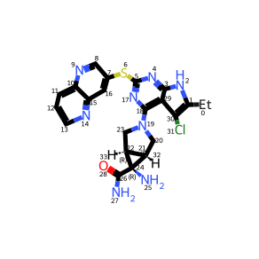 CCc1[nH]c2nc(Sc3cnc4cccnc4c3)nc(N3C[C@@H]4[C@H](C3)[C@@]4(N)C(N)=O)c2c1Cl